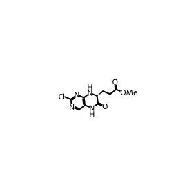 COC(=O)CC[C@@H]1Nc2nc(Cl)ncc2NC1=O